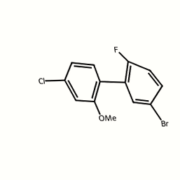 COc1cc(Cl)ccc1-c1cc(Br)ccc1F